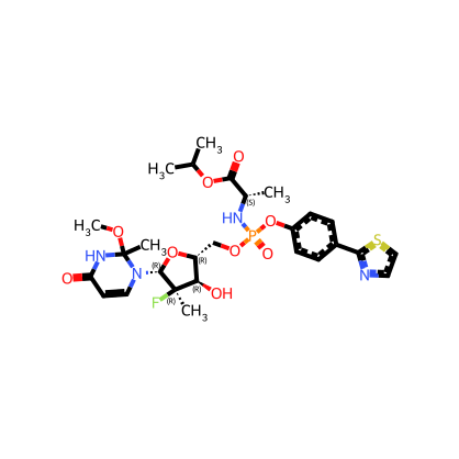 COC1(C)NC(=O)C=CN1[C@@H]1O[C@H](COP(=O)(N[C@@H](C)C(=O)OC(C)C)Oc2ccc(-c3nccs3)cc2)[C@@H](O)[C@@]1(C)F